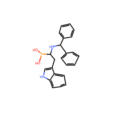 OP(O)C(Cc1c[nH]c2ccccc12)NC(c1ccccc1)c1ccccc1